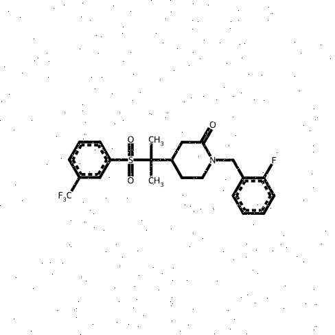 CC(C)(C1CCN(Cc2ccccc2F)C(=O)C1)S(=O)(=O)c1cccc(C(F)(F)F)c1